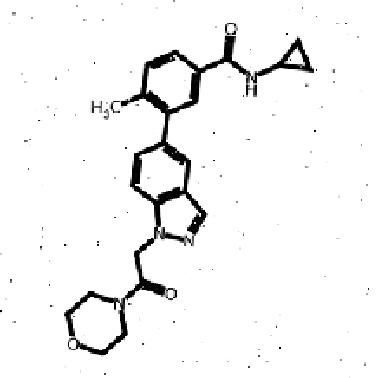 Cc1ccc(C(=O)NC2CC2)cc1-c1ccc2c(cnn2CC(=O)N2CCOCC2)c1